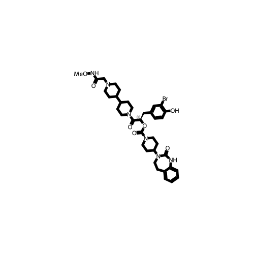 CONC(=O)CN1CCC(C2CCN(C(=O)[C@@H](Cc3ccc(O)c(Br)c3)OC(=O)N3CCC(N4CCc5ccccc5NC4=O)CC3)CC2)CC1